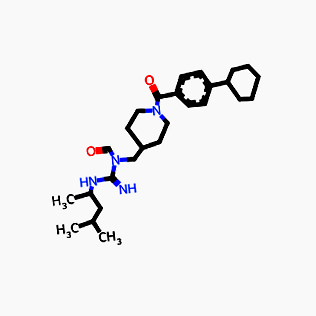 CC(C)CC(C)NC(=N)N(C=O)CC1CCN(C(=O)c2ccc(C3CCCCC3)cc2)CC1